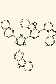 c1ccc2cc(-c3nc(-c4ccc5sc6ccccc6c5c4)nc(-c4ccc(-c5cccc6sc7ccccc7c56)c5oc6ccccc6c45)n3)ccc2c1